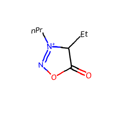 CCC[N+]1=NOC(=O)C1CC